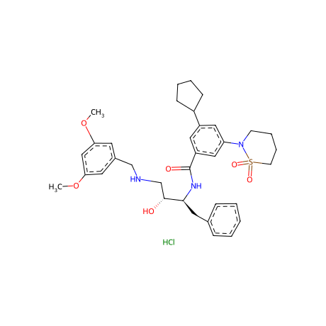 COc1cc(CNC[C@@H](O)[C@H](Cc2ccccc2)NC(=O)c2cc(C3CCCC3)cc(N3CCCCS3(=O)=O)c2)cc(OC)c1.Cl